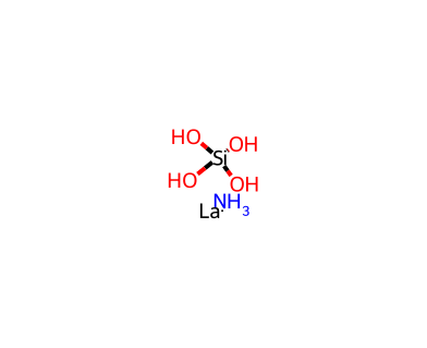 N.O[Si](O)(O)O.[La]